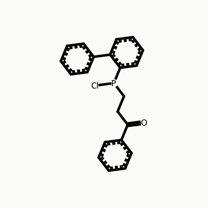 O=C(CCP(Cl)c1ccccc1-c1ccccc1)c1ccccc1